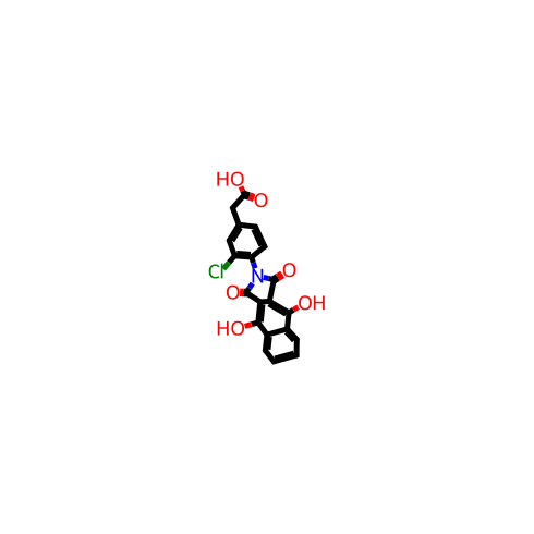 O=C(O)Cc1ccc(N2C(=O)c3c(c(O)c4ccccc4c3O)C2=O)c(Cl)c1